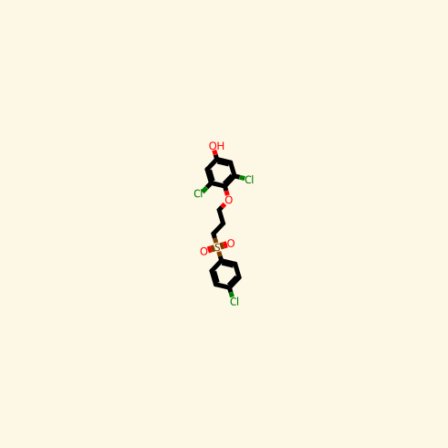 O=S(=O)(CCCOc1c(Cl)cc(O)cc1Cl)c1ccc(Cl)cc1